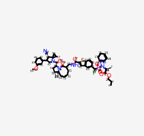 CCCOC(=O)[C@H](C)NP(=O)(Oc1ccccc1)[C@@H](F)c1ccc2sc(C(=O)NCC3CCCC[C@H]4CC[C@@H](C(=O)N5CC(c6cccc(OC)c6)[C@H](C#N)C56CC6)N4C3=O)cc2c1